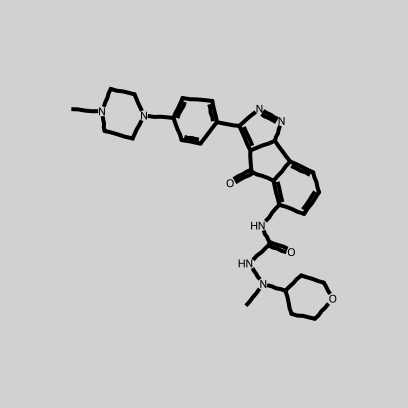 CN1CCN(c2ccc(C3=C4C(=O)c5c(NC(=O)NN(C)C6CCOCC6)cccc5C4N=N3)cc2)CC1